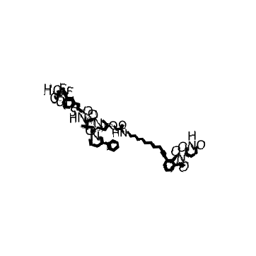 CC(C)(C)[C@H](NC(=O)c1cc2cc(C(F)(F)P(=O)(O)O)ccc2s1)C(=O)N1C[C@@H](OCC(=O)NCCCCCCCCCC#Cc2cccc3c2C(=O)N(C2CCC(=O)NC2=O)C3=O)C[C@H]1C(=O)N1CCCC(c2ccccc2)C1